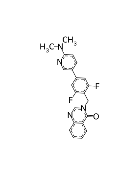 CN(C)c1ccc(-c2cc(F)c(Cn3cnc4ccccc4c3=O)c(F)c2)cn1